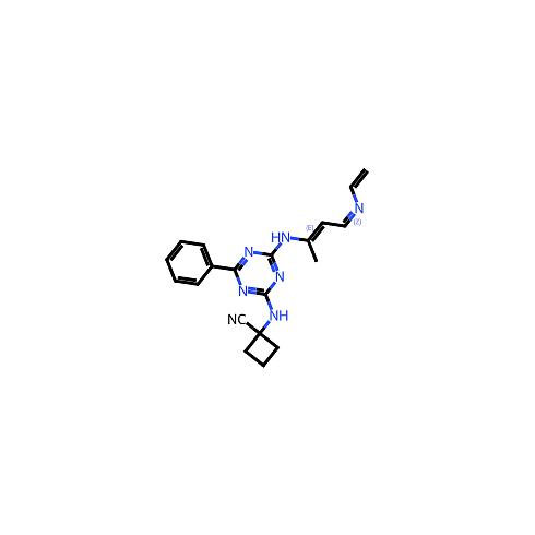 C=C/N=C\C=C(/C)Nc1nc(NC2(C#N)CCC2)nc(-c2ccccc2)n1